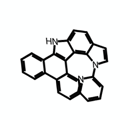 c1ccc(-n2ccc3ccc4[nH]c5c6ccccc6c6ccccc6c5c4c32)nc1